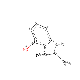 COC(C=O)OC.Oc1ccccc1